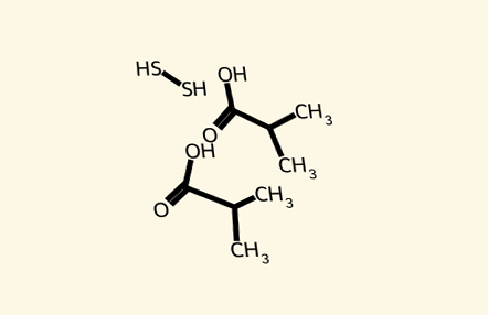 CC(C)C(=O)O.CC(C)C(=O)O.SS